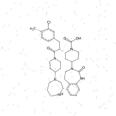 Cc1ccc(CC(C(=O)N2CCC(N3CCCNCC3)CC2)[C@H]2CC(N3CCc4ccccc4NC3=O)CCN2C(=O)O)cc1Cl